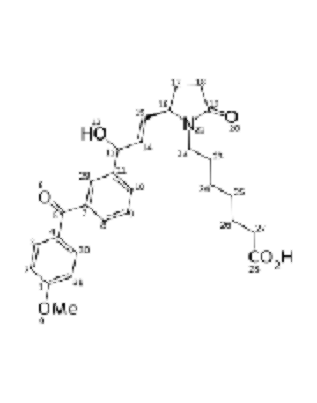 COc1ccc(C(=O)c2cccc(C(O)C=C[C@H]3CCC(=O)N3CCCCCCC(=O)O)c2)cc1